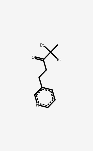 CCC(C)(CC)C(=O)CCc1cccnc1